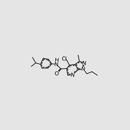 CCCn1nc(C)c2c(Cl)c(C(=O)Nc3ccc(C(C)C)cc3)cnc21